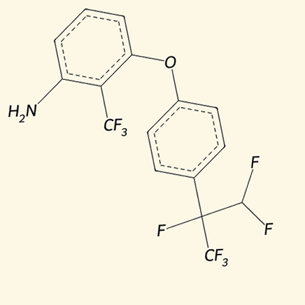 Nc1cccc(Oc2ccc(C(F)(C(F)F)C(F)(F)F)cc2)c1C(F)(F)F